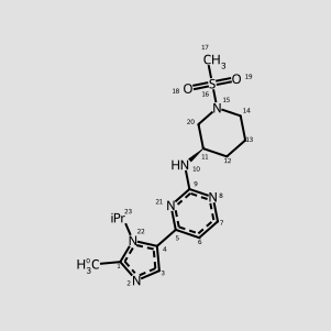 Cc1ncc(-c2ccnc(N[C@@H]3CCCN(S(C)(=O)=O)C3)n2)n1C(C)C